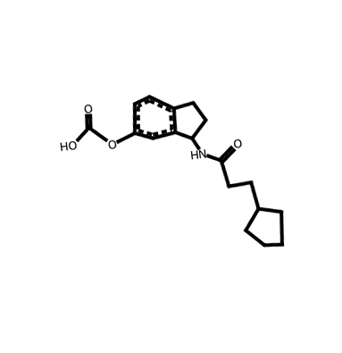 O=C(CCC1CCCC1)NC1CCc2ccc(OC(=O)O)cc21